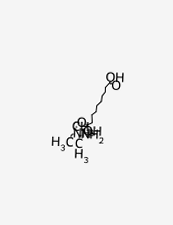 CCN.CCNC.O=C(O)CCCCCCCCC(=O)O